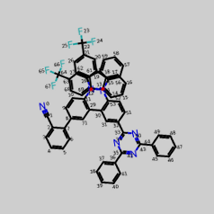 N#Cc1ccccc1-c1ccc(-n2c3ccccc3c3cc(C(F)(F)F)ccc32)c(-c2cc(-c3nc(-c4ccccc4)nc(-c4ccccc4)n3)ccc2-n2c3ccccc3c3cc(C(F)(F)F)ccc32)c1